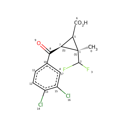 C[C@@]1(C(F)F)C(C(=O)O)[C@@H]1C(=O)c1ccc(Cl)c(Cl)c1